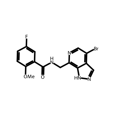 COc1ccc(F)cc1C(=O)NCc1ncc(Br)c2cn[nH]c12